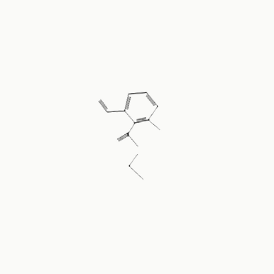 C=Cc1cccc(O)c1C(=O)OCC